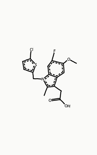 COc1cc2c(CC(=O)O)c(C)n(Cc3ccc(Cl)s3)c2cc1F